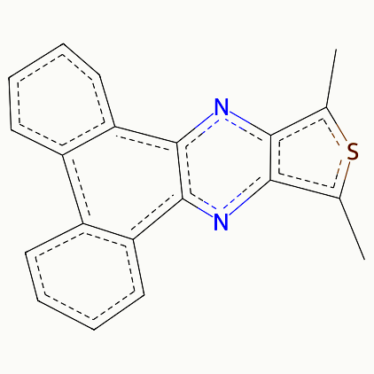 Cc1sc(C)c2nc3c4ccccc4c4ccccc4c3nc12